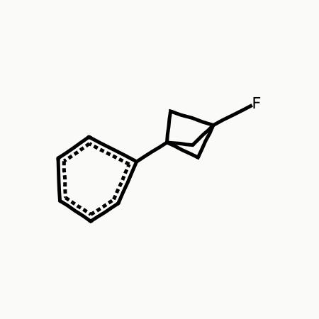 FC12CC(c3ccccc3)(C1)C2